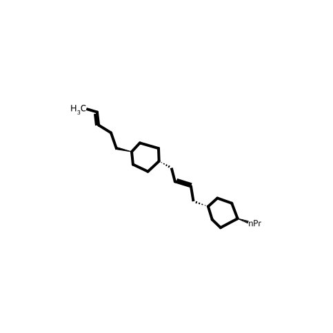 CC=CCC[C@H]1CC[C@H](CC=CC[C@H]2CC[C@H](CCC)CC2)CC1